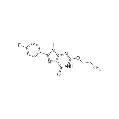 Cn1c(-c2ccc(F)cc2)nc2c(=O)[nH]c(OCCC(F)(F)F)nc21